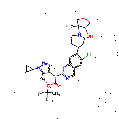 Cc1c(N(C(=O)OC(C)(C)C)c2ncc3cc(Cl)c(C4CCN(C5(C)COC[C@H]5O)CC4)cc3n2)cnn1C1CC1